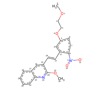 COCCOc1ccc([N+](=O)[O-])c(C=Cc2cc3ccccc3nc2OC)c1